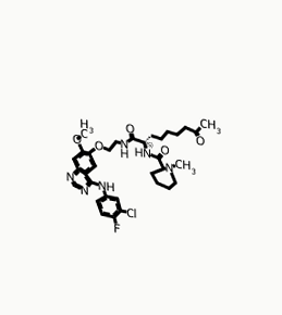 COc1cc2ncnc(Nc3ccc(F)c(Cl)c3)c2cc1OCCNC(=O)[C@H](CCCCCC(C)=O)NC(=O)C1CCCCN1C